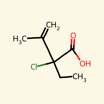 C=C(C)C(Cl)(CC)C(=O)O